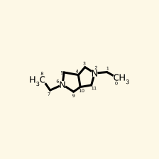 CCN1CC2CN(CC)CC2C1